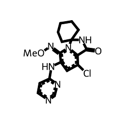 CO/N=c1\c(Nc2ccncn2)cc(Cl)c2n1C1(CCCCC1)NC2=O